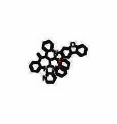 C=C1c2ccccc2N2c3ncccc3N(c3ccccc3)C2C2C1c1ccccc1N1c3cc4oc5ccccc5c4cc3N(c3ccccc3)C21